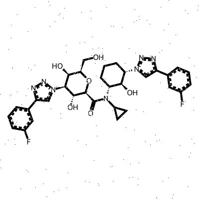 O=C([C@@H]1O[C@H](CO)[C@H](O)[C@H](n2cc(-c3cccc(F)c3)nn2)[C@H]1O)N(C1CC1)[C@@H]1CCC[C@H](n2cc(-c3cccc(F)c3)nn2)[C@H]1O